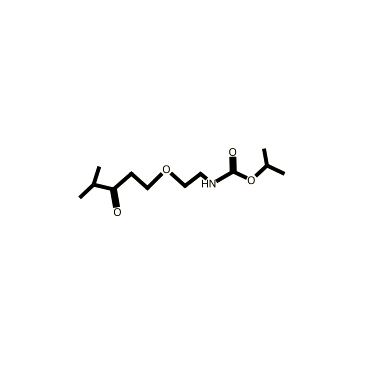 CC(C)OC(=O)NCCOCCC(=O)C(C)C